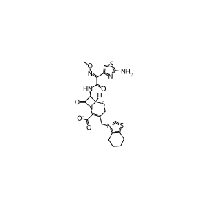 CON=C(C(=O)N[C@@H]1C(=O)N2C(C(=O)[O-])=C(C[n+]3csc4c3CCCC4)CS[C@@H]12)c1csc(N)n1